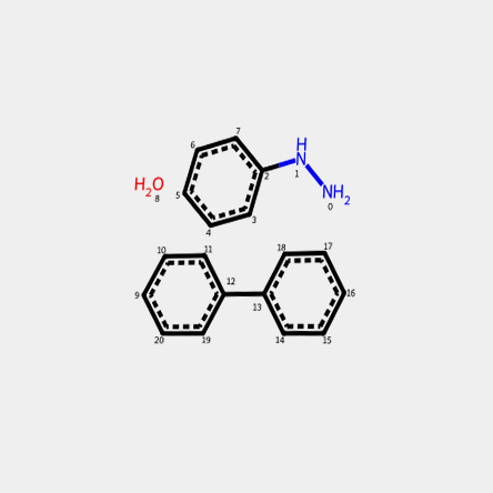 NNc1ccccc1.O.c1ccc(-c2ccccc2)cc1